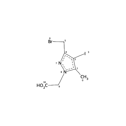 Cc1c(I)c(CBr)nn1CC(=O)O